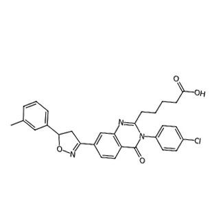 Cc1cccc(C2CC(c3ccc4c(=O)n(-c5ccc(Cl)cc5)c(CCCCC(=O)O)nc4c3)=NO2)c1